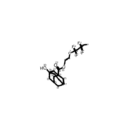 CC(F)(F)C(F)(F)OCCOC(=O)C12CC3CC(CC(O)(C3)C1)C2